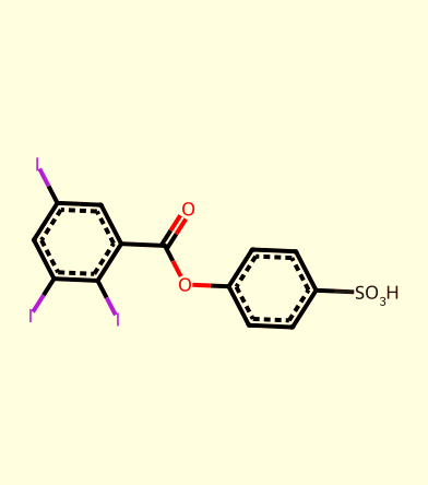 O=C(Oc1ccc(S(=O)(=O)O)cc1)c1cc(I)cc(I)c1I